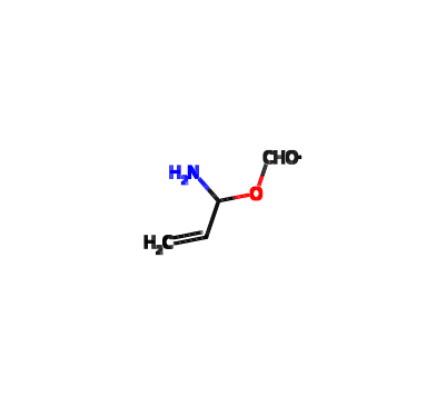 C=CC(N)O[C]=O